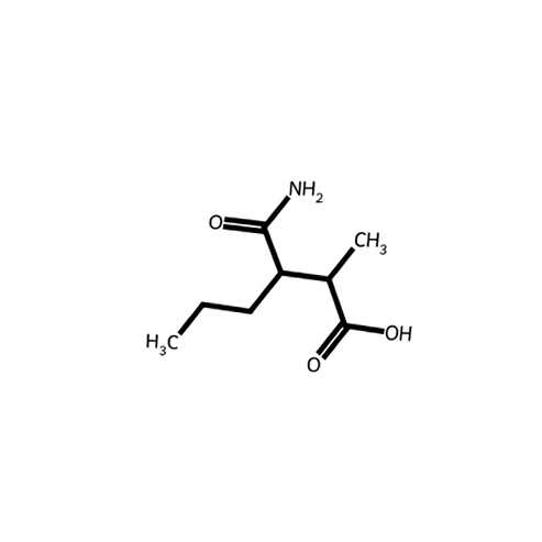 CCCC(C(N)=O)C(C)C(=O)O